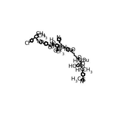 Cc1ncsc1-c1ccc([C@H](C)NC(=O)[C@@H]2C[C@@H](O)CN2C(=O)[C@@H](NC(=O)CCCCCC(=O)N2CCN(CC[C@H](CSc3ccncc3)Nc3ccc(S(=O)(=O)NC(=O)c4ccc(N5CCN(CC6=C(c7ccc(Cl)cc7)CCC(C)(C)C6)CC5)cc4)cc3S(=O)(=O)C(F)(F)F)CC2)C(C)(C)C)cc1